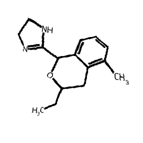 CCC1Cc2c(C)cccc2C(C2=NCCN2)O1